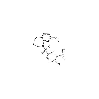 COc1ccc2c(c1)N(S(=O)(=O)c1ccc(Cl)c([N+](=O)[O-])c1)CCCC2